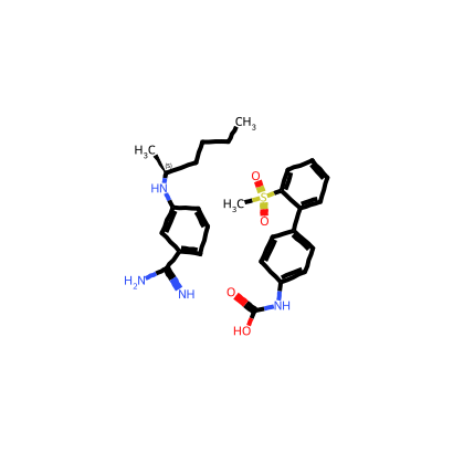 CCCC[C@H](C)Nc1cccc(C(=N)N)c1.CS(=O)(=O)c1ccccc1-c1ccc(NC(=O)O)cc1